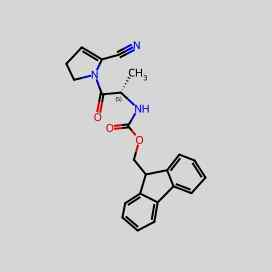 C[C@H](NC(=O)OCC1c2ccccc2-c2ccccc21)C(=O)N1CCC=C1C#N